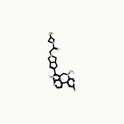 CN1Cc2c(C3=CC4CN(CC(=O)N5CC(O)C5)CC4C3)[nH]c3nccc(c23)-c2cc(F)ccc21